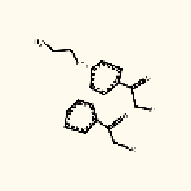 CC(=O)CC(=O)c1ccccc1.CC(=O)CC(=O)c1ccccc1.NCCN